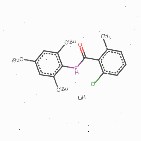 Cc1cccc(Cl)c1C(=O)Pc1c(OCC(C)C)cc(OCC(C)C)cc1OCC(C)C.[LiH]